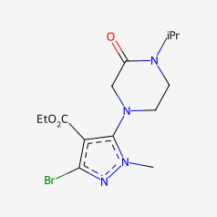 CCOC(=O)c1c(Br)nn(C)c1N1CCN(C(C)C)C(=O)C1